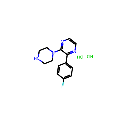 Cl.Cl.Fc1ccc(-c2nccnc2N2CCNCC2)cc1